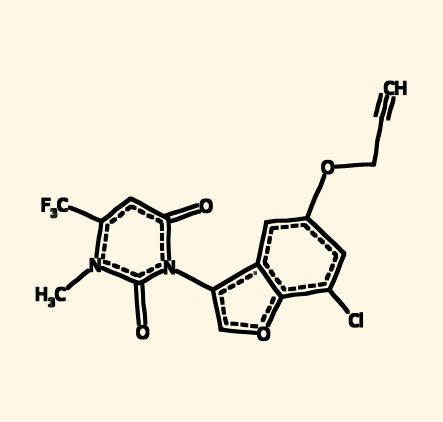 C#CCOc1cc(Cl)c2occ(-n3c(=O)cc(C(F)(F)F)n(C)c3=O)c2c1